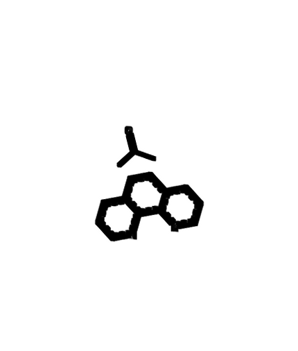 CC(C)=O.c1cnc2c(c1)ccc1cccnc12